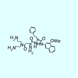 COc1cc(NC(=O)[C@H](CCc2ccccc2)NC(=O)[C@@H](N)CC(=O)N(CCN)CCN)cc2ccccc12